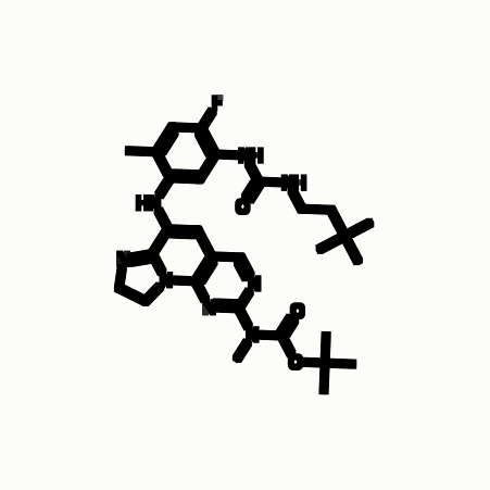 Cc1cc(F)c(NC(=O)NCCC(C)(C)C)cc1NC1=Cc2cnc(N(C)C(=O)OC(C)(C)C)nc2N2CCN=C12